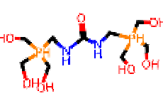 O=C(NC[PH](CO)(CO)CO)NC[PH](CO)(CO)CO